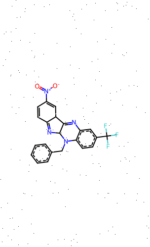 O=[N+]([O-])C1=CC2C(=NC3C2=Nc2cc(C(F)(F)F)ccc2N3Cc2ccccc2)C=C1